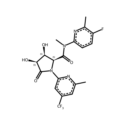 Cc1cc(C(F)(F)F)cc(N2C(=O)[C@@H](O)[C@@H](O)[C@H]2C(=O)N(C)c2ccc(F)c(C)n2)n1